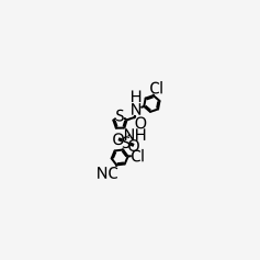 N#Cc1ccc(S(=O)(=O)Nc2ccsc2C(=O)Nc2cccc(Cl)c2)c(Cl)c1